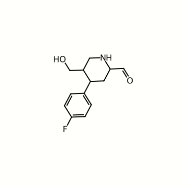 O=CC1CC(c2ccc(F)cc2)C(CO)CN1